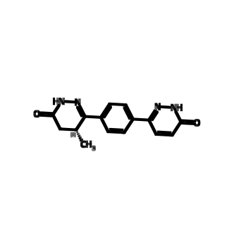 C[C@@H]1CC(=O)NN=C1c1ccc(-c2ccc(=O)[nH]n2)cc1